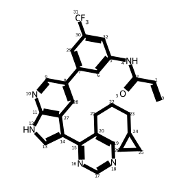 C=CC(=O)Nc1cc(-c2cnc3[nH]cc(-c4ncncc4CCCC4CC4)c3c2)cc(C(F)(F)F)c1